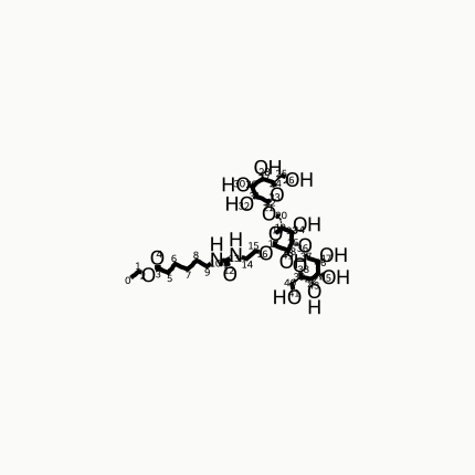 CCOC(=O)CCCCCNC(=O)NCCO[C@@H]1O[C@H](CO[C@H]2O[C@H](CO)[C@@H](O)[C@H](O)[C@@H]2O)[C@@H](O)[C@H](O[C@H]2O[C@H](CO)[C@@H](O)[C@H](O)[C@@H]2O)[C@@H]1O